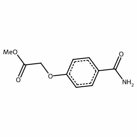 COC(=O)COc1ccc(C(N)=O)cc1